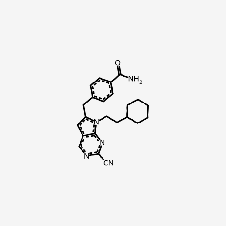 N#Cc1ncc2cc(Cc3ccc(C(N)=O)cc3)n(CCC3CCCCC3)c2n1